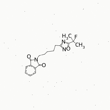 CC(C)(F)c1nc(CCCCCN2C(=O)c3ccccc3C2=O)no1